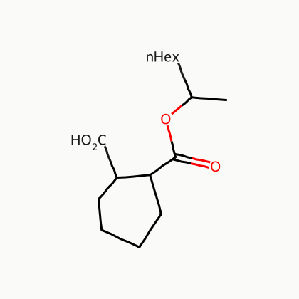 CCCCCCC(C)OC(=O)C1CCCCC1C(=O)O